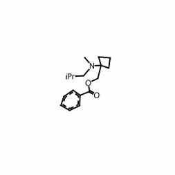 CC(C)CN(C)C1(COC(=O)c2ccccc2)CCC1